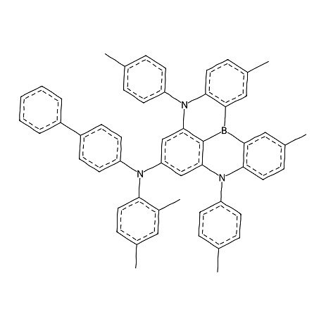 Cc1ccc(N2c3ccc(C)cc3B3c4cc(C)ccc4N(c4ccc(C)cc4)c4cc(N(c5ccc(-c6ccccc6)cc5)c5ccc(C)cc5C)cc2c43)cc1